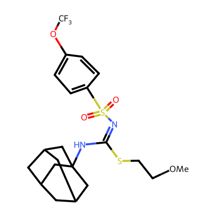 COCCS/C(=N/S(=O)(=O)c1ccc(OC(F)(F)F)cc1)NC12CC3CC(CC(C3)C1)C2